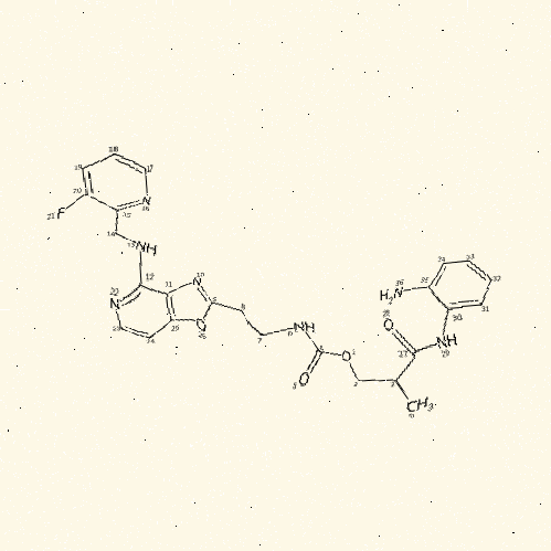 CC(COC(=O)NCCc1nc2c(NCc3ncccc3F)nccc2o1)C(=O)Nc1ccccc1N